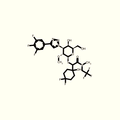 CO[C@@H]1[C@@H](n2cc(-c3cc(F)c(F)c(F)c3)nn2)[C@@H](O)[C@@H](CO)O[C@H]1SC(C(=O)N(C)CC(F)(F)F)C1(O)CCC(F)(F)CC1